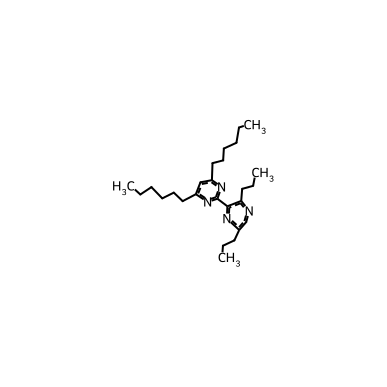 CCCCCCc1cc(CCCCCC)nc(-c2nc(CCC)cnc2CCC)n1